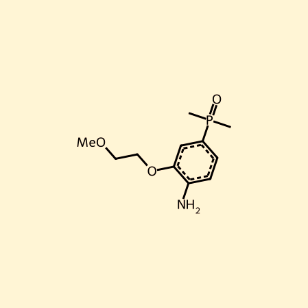 COCCOc1cc(P(C)(C)=O)ccc1N